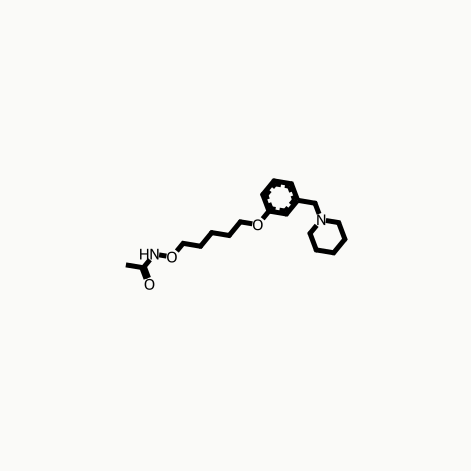 CC(=O)NOCCCCCOc1cccc(CN2CCCCC2)c1